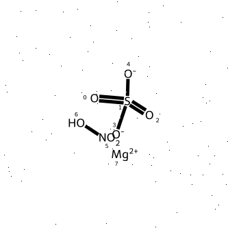 O=S(=O)([O-])[O-].O=[N+]([O-])O.[Mg+2]